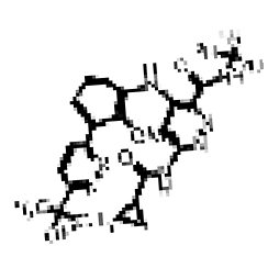 [2H]C([2H])([2H])NC(=O)c1nnc(NC(=O)C2CC2)cc1Nc1cccc(-c2ccc(C(C)(C)O)nn2)c1OC